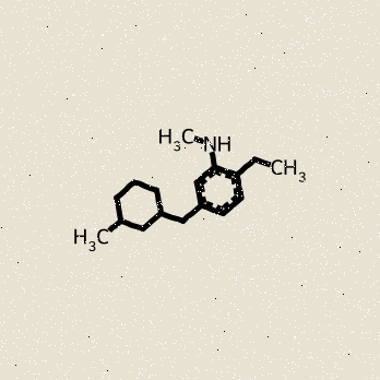 CCc1ccc(CC2CCCC(C)C2)cc1NC